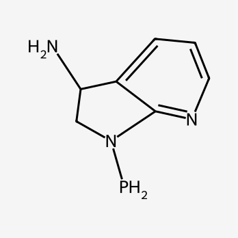 NC1CN(P)c2ncccc21